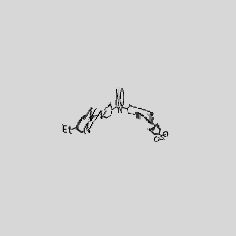 CCc1cnc(N2CCC(c3noc(C4CCN(c5ccc(S(C)(=O)=O)cc5)C4)n3)CC2)nc1